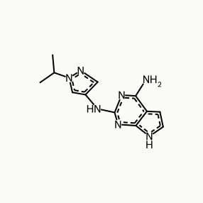 CC(C)n1cc(Nc2nc(N)c3cc[nH]c3n2)cn1